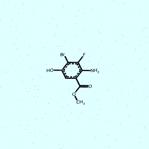 COC(=O)c1cc(O)c(Br)c(F)c1N